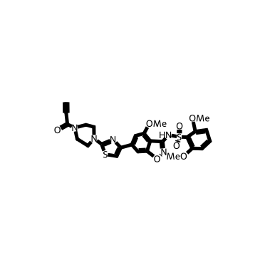 C#CC(=O)N1CCN(c2nc(-c3cc(OC)c4c(NS(=O)(=O)c5c(OC)cccc5OC)noc4c3)cs2)CC1